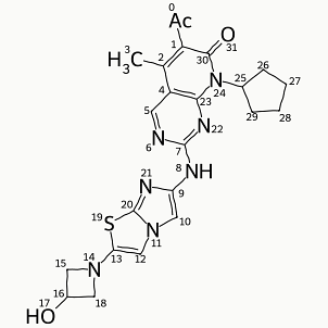 CC(=O)c1c(C)c2cnc(Nc3cn4cc(N5CC(O)C5)sc4n3)nc2n(C2CCCC2)c1=O